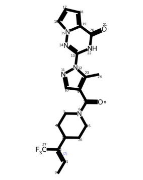 C/C=C(/C1CCN(C(=O)c2cnn(-c3nn4cccc4c(=O)[nH]3)c2C)CC1)C(F)(F)F